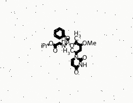 COC(C[C@H](C)n1ccc(=O)[nH]c1=O)C(C)OP(NCC(=O)OC(C)C)Oc1ccccc1